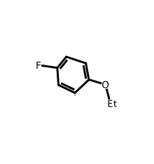 CCOc1[c]cc(F)cc1